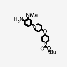 CNc1cc(N2CCC(OC3CCN(C(=O)OC(C)(C)C)CC3)CC2)ccc1N